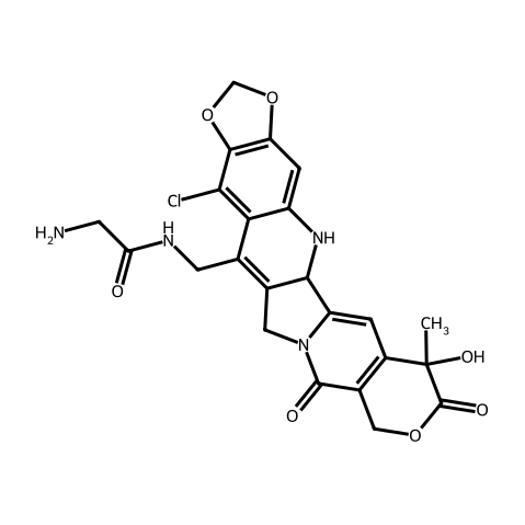 CC1(O)C(=O)OCc2c1cc1n(c2=O)CC2=C(CNC(=O)CN)c3c(cc4c(c3Cl)OCO4)NC21